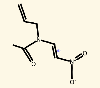 C=CCN(/C=C/[N+](=O)[O-])C(C)=O